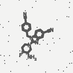 N#Cc1ccc(Cn2c(N3CC[C@@H](F)[C@H](N)C3)nc3cc(C#N)ccc32)cc1